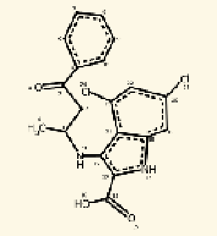 CC(CC(=O)c1ccccc1)Nc1c(C(=O)O)[nH]c2cc(Cl)cc(Cl)c12